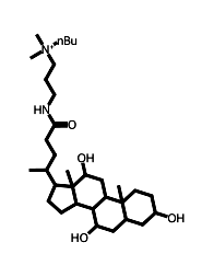 CCCC[N+](C)(C)CCCNC(=O)CCC(C)C1CCC2C3C(O)CC4CC(O)CCC4(C)C3CC(O)C12C